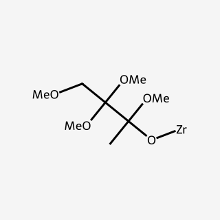 COCC(OC)(OC)C(C)(OC)[O][Zr]